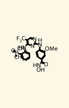 COc1cc(C(=O)NO)ccc1Nc1ncc(C(F)(F)F)c(Nc2ccccc2P(C)(C)=O)n1